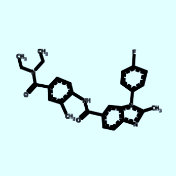 CCN(CC)C(=O)c1ccc(NC(=O)c2ccc3nc(C)n(-c4ccc(F)cc4)c3c2)c(C)c1